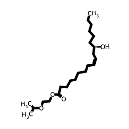 CCCCCC[C@@H](O)C/C=C\CCCCCCCC(=O)OCCOC(C)C